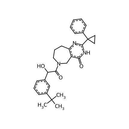 CC(C)(C)c1cccc(C(O)C(=O)N2CCCc3nc(C4(c5ccccc5)CC4)[nH]c(=O)c3C2)c1